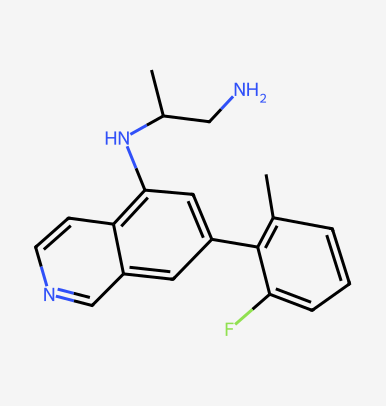 Cc1cccc(F)c1-c1cc(NC(C)CN)c2ccncc2c1